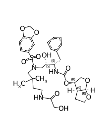 CC(C)(CCNC(=O)CO)CN(C[C@H](O)[C@H](Cc1ccccc1)NC(=O)O[C@H]1CO[C@H]2OCC[C@H]21)S(=O)(=O)c1ccc2c(c1)OCO2